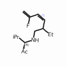 C=C(F)/C=C\C(CC)CN[C@@H](C(C)=O)C(C)C